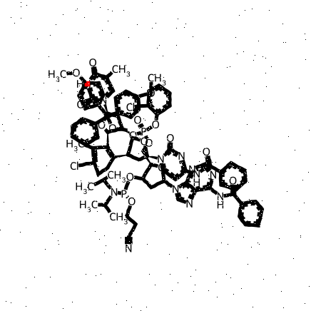 COc1ccc(C(OC[C@@H]2O[C@@H](n3ccc(NC(=O)c4ccccc4)nc3=O)C[C@H]2C2=C([C@H]3O[C@@H](n4cc(C)c(=O)[nH]c4=O)C[C@@H]3OP(=O)(OC[C@H]3OC(n4cnc5c(NC(=O)c6ccccc6)ncnc54)CC3OP(OCCC#N)N(C(C)C)C(C)C)Oc3ccccc3Cl)C(C)=C(Cl)[CH]C2)(c2ccccc2)c2ccc(OC)cc2)cc1